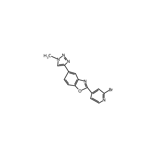 Cn1cc(-c2ccc3oc(-c4ccnc(Br)c4)nc3c2)nn1